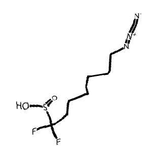 [N-]=[N+]=NCCCCCCC(F)(F)S(=O)O